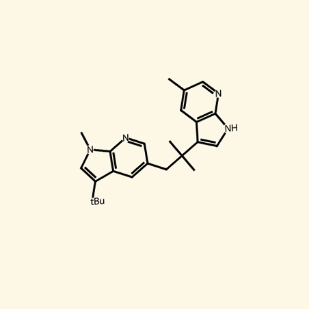 Cc1cnc2[nH]cc(C(C)(C)Cc3cnc4c(c3)c(C(C)(C)C)cn4C)c2c1